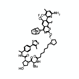 Cc1cc(N)nc(-c2c(Cl)cc3c(N4CC5CCC(C4)N5)nc(OC[C@@H]4CCCN4CCCCCCC(=O)NC(C(=O)N4C[C@H](O)C[C@H]4C(=O)NC(C)c4ccc(-c5scnc5C)cc4)C(C)(C)C)nc3c2F)c1C(F)(F)F